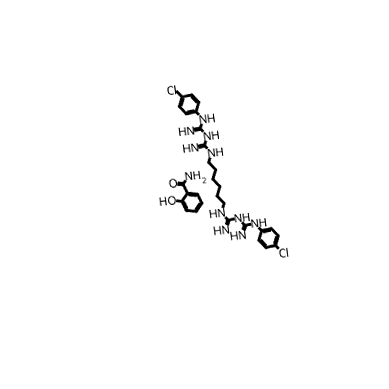 N=C(NCCCCCCNC(=N)NC(=N)Nc1ccc(Cl)cc1)NC(=N)Nc1ccc(Cl)cc1.NC(=O)c1ccccc1O